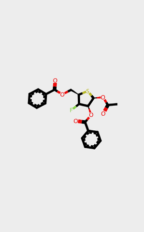 CC(=O)O[C@@H]1S[C@H](COC(=O)c2ccccc2)C(F)[C@@H]1OC(=O)c1ccccc1